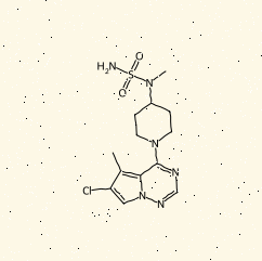 Cc1c(Cl)cn2ncnc(N3CCC(N(C)S(N)(=O)=O)CC3)c12